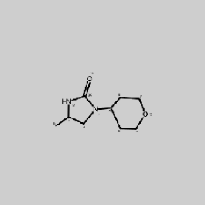 CC1CN(C2CCOCC2)C(=O)N1